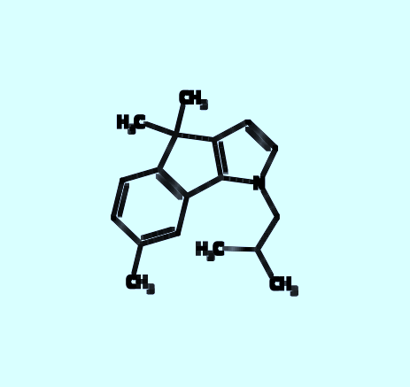 Cc1ccc2c(c1)-c1c(ccn1CC(C)C)C2(C)C